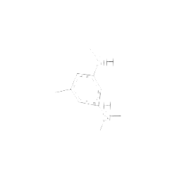 Cc1cc([SiH](C)C)cc([SiH](C)C)c1